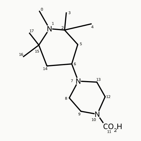 CN1C(C)(C)CC(N2CCN(C(=O)O)CC2)CC1(C)C